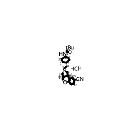 CC(C)(C)C(=O)N[C@H]1CC[C@H](CCN2C[C@H]3COc4ccc(C#N)cc4[C@@H]3C2)CC1.Cl